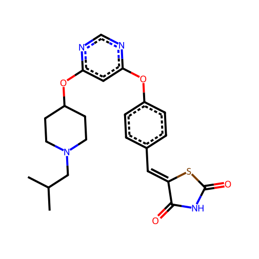 CC(C)CN1CCC(Oc2cc(Oc3ccc(/C=C4\SC(=O)NC4=O)cc3)ncn2)CC1